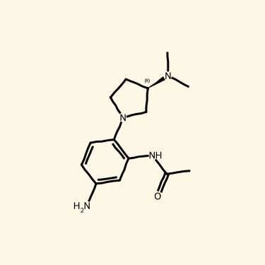 CC(=O)Nc1cc(N)ccc1N1CC[C@@H](N(C)C)C1